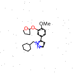 COc1ccc(-c2ccnn2CC2CCCCC2)cc1OC1CCCO1